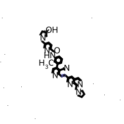 Cc1c(NC(=O)c2ccc(CN3CC[C@@H](O)C3)cn2)cccc1-c1ccnc(/C=C/c2cnc3c(CN4CCCC4)nccc3c2)c1C#N